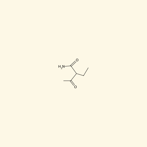 CCC(C(C)=O)C(N)=O